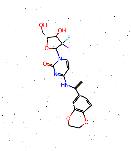 C=C(Nc1ccn(C2O[C@H](CO)[C@@H](O)C2(F)I)c(=O)n1)c1ccc2c(c1)OCCO2